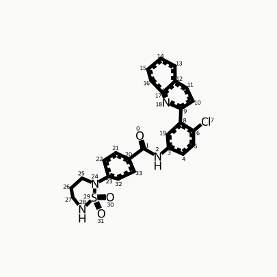 O=C(Nc1ccc(Cl)c(-c2ccc3ccccc3n2)c1)c1ccc(N2CCCNS2(=O)=O)cc1